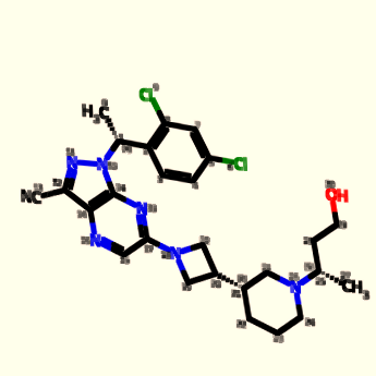 C[C@H](c1ccc(Cl)cc1Cl)n1nc(C#N)c2ncc(N3CC([C@H]4CCCN([C@@H](C)CCO)C4)C3)nc21